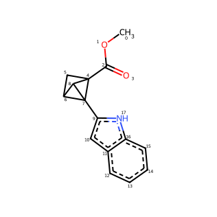 COC(=O)C12CC(C1)C2c1cc2ccccc2[nH]1